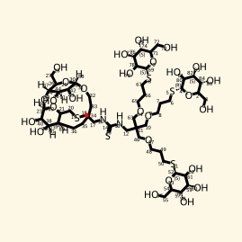 OCC1O[C@H](SCCCOCC(CNC(=S)NCCSCC2O[C@@H]3O[C@@H]4C(CO)O[C@H](OCCCCC[C@H]2[C@H](O)C3O)C(O)[C@H]4O)(COCCCS[C@@H]2OC(CO)[C@@H](O)[C@H](O)C2O)COCCCS[C@@H]2OC(CO)[C@@H](O)[C@H](O)C2O)C(O)[C@@H](O)[C@@H]1O